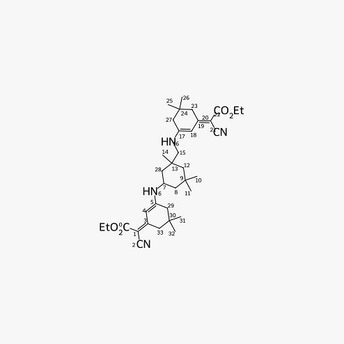 CCOC(=O)/C(C#N)=C1\C=C(NC2CC(C)(C)CC(C)(CNC3=C/C(=C(\C#N)C(=O)OCC)CC(C)(C)C3)C2)CC(C)(C)C1